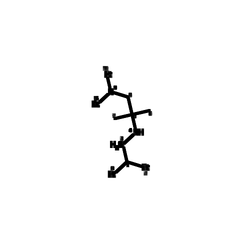 CCC(CC)[SiH2]NC(C)(C)CN(CC)CC